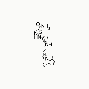 Cc1cccc(Cl)c1N1C=CN(CCCNc2cccc(Nc3ncc(C(N)=O)s3)n2)C1